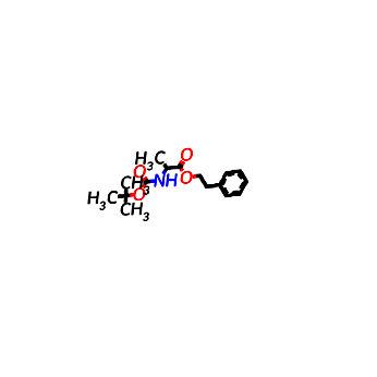 CC(NC(=O)OC(C)(C)C)C(=O)OCCc1ccccc1